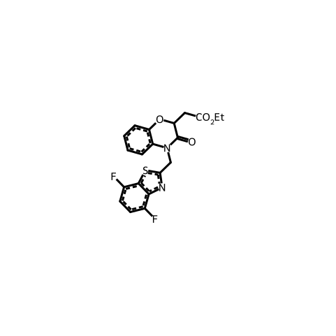 CCOC(=O)CC1Oc2ccccc2N(Cc2nc3c(F)ccc(F)c3s2)C1=O